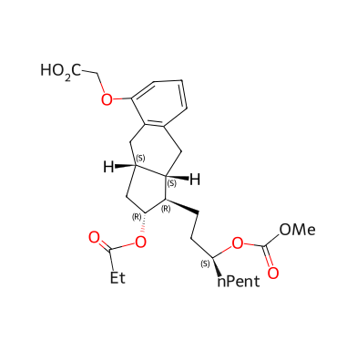 CCCCC[C@@H](CC[C@@H]1[C@H]2Cc3cccc(OCC(=O)O)c3C[C@H]2C[C@H]1OC(=O)CC)OC(=O)OC